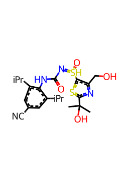 CC(C)c1cc(C#N)cc(C(C)C)c1NC(=O)/N=[SH](=O)\c1sc(C(C)(C)O)nc1CO